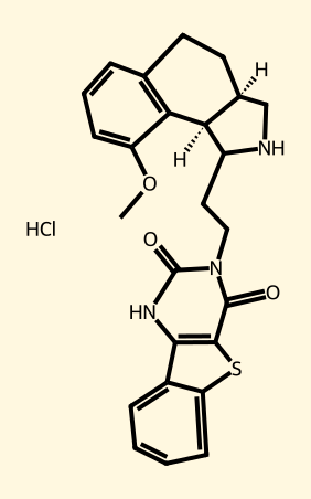 COc1cccc2c1[C@@H]1C(CCn3c(=O)[nH]c4c(sc5ccccc54)c3=O)NC[C@@H]1CC2.Cl